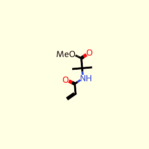 C=CC(=O)NC(C)(C)C(=O)OC